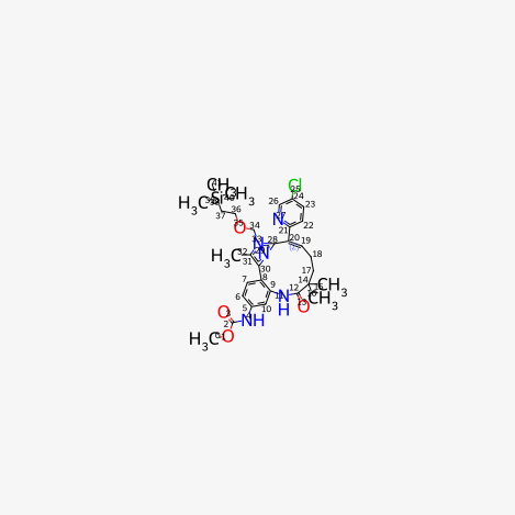 COC(=O)Nc1ccc2c(c1)NC(=O)C(C)(C)CC/C=C(/c1ccc(Cl)cn1)c1nc-2c(C)n1COCC[Si](C)(C)C